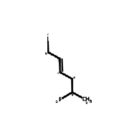 CC(F)C/C=C/CI